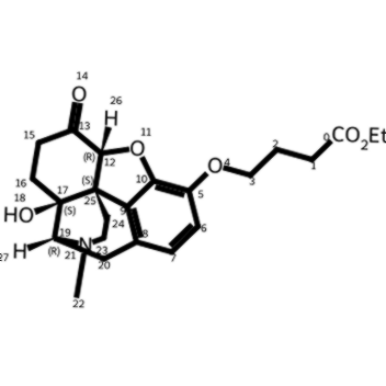 CCOC(=O)CCCOc1ccc2c3c1O[C@H]1C(=O)CC[C@@]4(O)[C@@H](C2)N(C)CC[C@]314